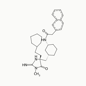 CN1C(=N)N[C@](CCC2CCCCC2)(C[C@H]2CCC[C@@H](NC(=O)Cc3ccc4ccccc4c3)C2)C1=O